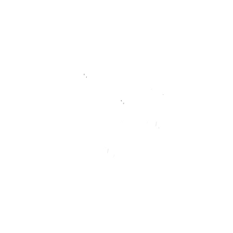 COC[N+]1(C(C)C)CCCC1.[N-]=C=O